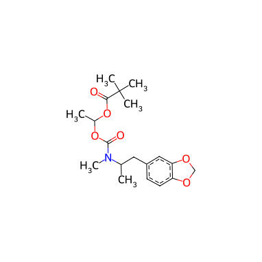 CC(OC(=O)N(C)C(C)Cc1ccc2c(c1)OCO2)OC(=O)C(C)(C)C